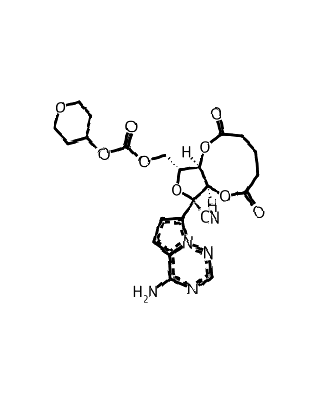 N#C[C@@]1(c2ccc3c(N)ncnn23)O[C@H](COC(=O)OC2CCOCC2)[C@H]2OC(=O)CCCC(=O)O[C@H]21